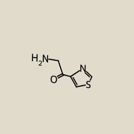 NCC(=O)c1cscn1